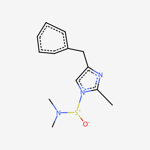 Cc1nc(Cc2ccccc2)cn1[S+]([O-])N(C)C